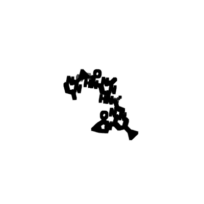 Cc1ccnc([C@H]2C[C@@H]2C(=O)Nc2cc(N[C@H](C)c3cn4cc(C5CC5)cc(N5CC6CC6C5=O)c4n3)nc(C)n2)n1